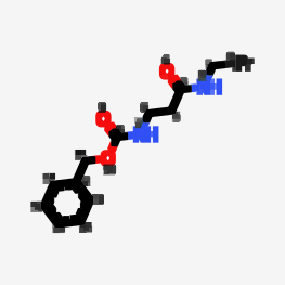 CC(C)CNC(=O)CCNC(=O)OCc1ccccc1